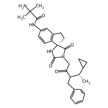 C[C@@H](C1CC1)C(Cc1ccccc1)C(=O)CN1C(=O)N[C@]2(CCc3cc(NC(=O)C(C)(C)N)ccc32)C1=O